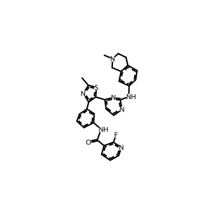 Cc1nc(-c2cccc(NC(=O)c3cccnc3F)c2)c(-c2ccnc(Nc3ccc4c(c3)CN(C)CC4)n2)s1